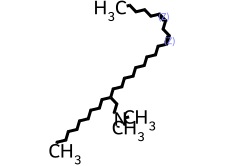 CCCCC/C=C\C/C=C\CCCCCCCCCC(CCCCCCCCCC)CCN(C)C